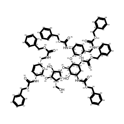 O=C(NC[C@H]1C=C[C@@H](NC(=O)OCc2ccccc2)[C@@H](O[C@H]2[C@@H](O)[C@H](O[C@@H]3[C@@H](O)[C@H](NC(=O)OCc4ccccc4)C[C@H](NC(=O)OCc4ccccc4)[C@H]3O[C@H]3O[C@H](CNC(=O)OCc4ccccc4)C=C[C@H]3NC(=O)OCc3ccccc3)O[C@@H]2CO)O1)OCc1ccccc1